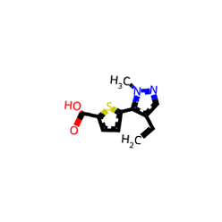 C=Cc1cnn(C)c1-c1ccc(C(=O)O)s1